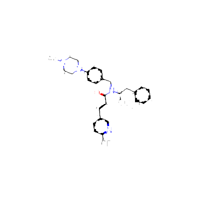 CC(=O)N1CCN(c2ccc(CN(C(=O)C=Cc3ccc(C(F)(F)F)nc3)[C@@H](Cc3ccccc3)C(=O)O)cc2)CC1